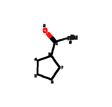 [CH2]CCCC(=O)C1CCCC1